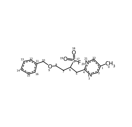 Cc1cnc(CC(CCOCc2ccccc2)S(=O)(=O)F)nc1